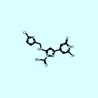 CC(C)(C)C(=O)n1nc(-c2cc(Br)[nH]c(=O)c2)cc1NCc1ccc(Cl)s1